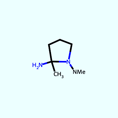 CNN1CCCC1(C)N